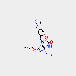 CCCCOc1cc2c([nH]c(=O)c(=O)n2Cc2cccc(CN3CCCC3)c2)c(N)n1